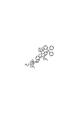 COC(=O)C(Cc1ccc(NC(=O)OC(C)(C)C)nc1)(C(=O)OC)c1cn(C(c2ccccc2)(c2ccccc2)c2ccccc2)cn1